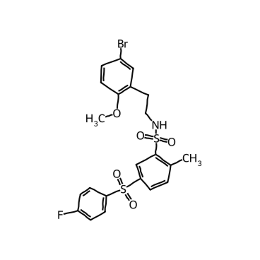 COc1ccc(Br)cc1CCNS(=O)(=O)c1cc(S(=O)(=O)c2ccc(F)cc2)ccc1C